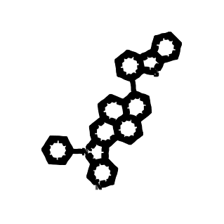 c1ccc(-n2c3cnccc3c3c4ccc5ccc(-c6cccc7c6sc6ccccc67)c6ccc(cc32)c4c56)cc1